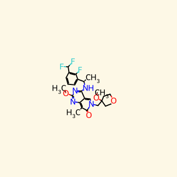 COc1nc(N[C@H](C)c2cccc(C(F)F)c2F)c2cn(CC3(OC)CCOCC3)c(=O)c(C)c2n1